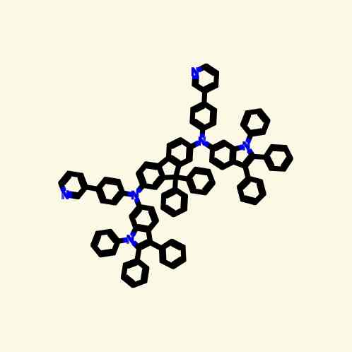 c1ccc(-c2c(-c3ccccc3)n(-c3ccccc3)c3cc(N(c4ccc(-c5cccnc5)cc4)c4ccc5c(c4)C(c4ccccc4)(c4ccccc4)c4cc(N(c6ccc(-c7cccnc7)cc6)c6ccc7c(-c8ccccc8)c(-c8ccccc8)n(-c8ccccc8)c7c6)ccc4-5)ccc23)cc1